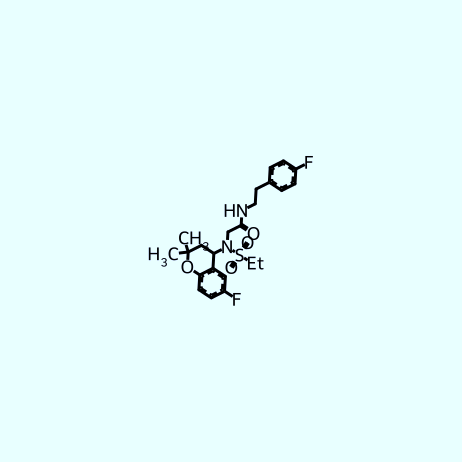 CCS(=O)(=O)N(CC(=O)NCCc1ccc(F)cc1)C1CC(C)(C)Oc2ccc(F)cc21